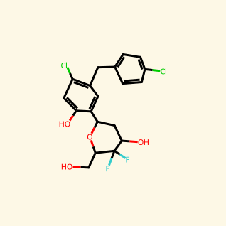 OCC1OC(c2cc(Cc3ccc(Cl)cc3)c(Cl)cc2O)CC(O)C1(F)F